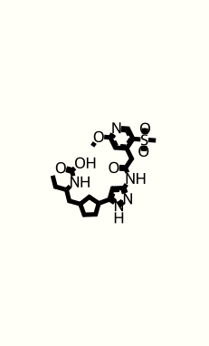 CCC(CC1CCC(c2cc(NC(=O)Cc3cc(OC)ncc3S(C)(=O)=O)n[nH]2)C1)NC(=O)O